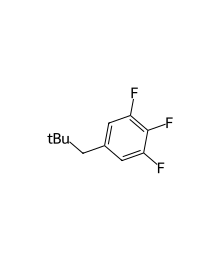 CC(C)(C)Cc1cc(F)c(F)c(F)c1